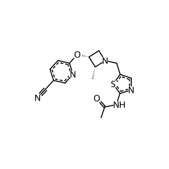 CC(=O)Nc1ncc(CN2C[C@@H](Oc3ccc(C#N)cn3)[C@H]2C)s1